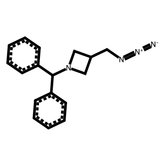 [N-]=[N+]=NCC1CN(C(c2ccccc2)c2ccccc2)C1